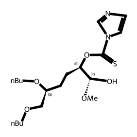 CCCCOC[C@H](CC[C@@H](OC(=S)n1ccnc1)[C@H](O)OC)OCCCC